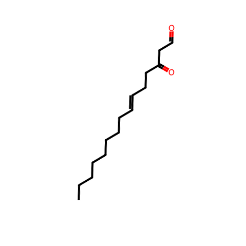 CCCCCCCCC=CCCC(=O)CC=O